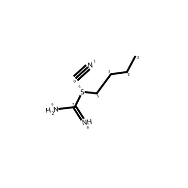 C#N.CCCCSC(=N)N